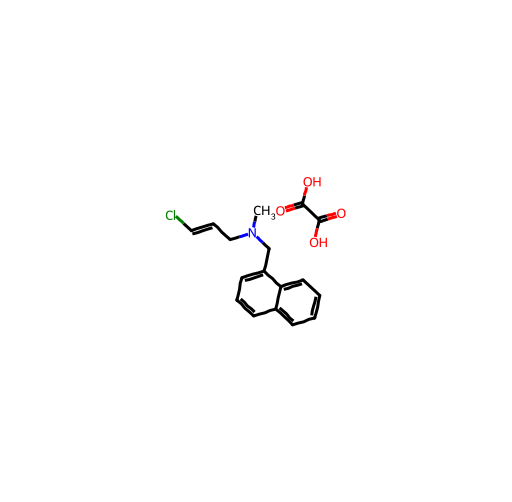 CN(CC=CCl)Cc1cccc2ccccc12.O=C(O)C(=O)O